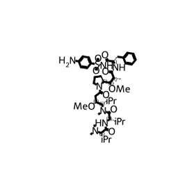 CO[C@H]([C@@H](C)C(=O)N[C@@H](Cc1ccccc1)C(=O)NS(=O)(=O)c1ccc(N)cc1)[C@@H]1CCCN1C(=O)C[C@@H](OC)[C@H](C(C)C)N(C)C(=O)[C@@H](NC(=O)[C@H](C(C)C)N(C)C)C(C)C